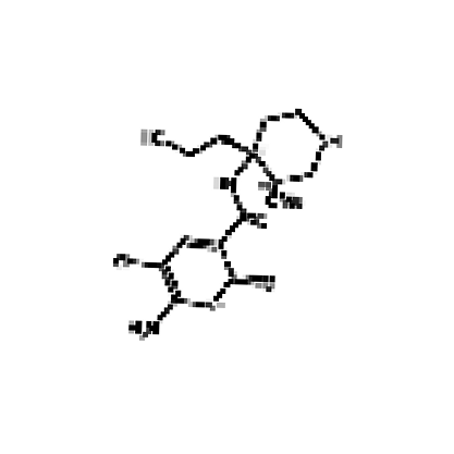 CO[C@@H]1CNCC[C@@]1(CCO)NC(=O)c1cc(Cl)c(N)[nH]c1=O